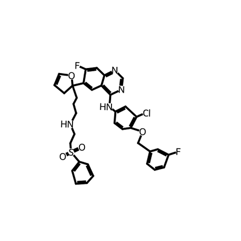 O=S(=O)(CCNCCCC1(c2cc3c(Nc4ccc(OCc5cccc(F)c5)c(Cl)c4)ncnc3cc2F)CC=CO1)c1ccccc1